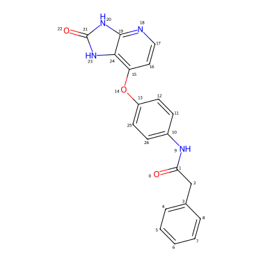 O=C(Cc1ccccc1)Nc1ccc(Oc2ccnc3[nH]c(=O)[nH]c23)cc1